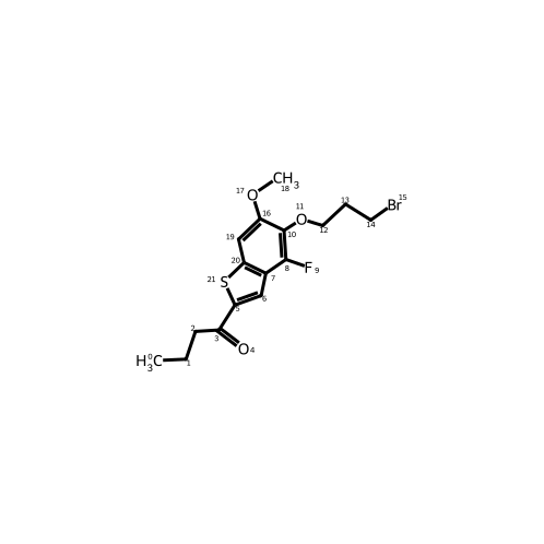 CCCC(=O)c1cc2c(F)c(OCCCBr)c(OC)cc2s1